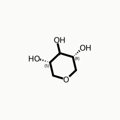 O[C]1[C@H](O)COC[C@@H]1O